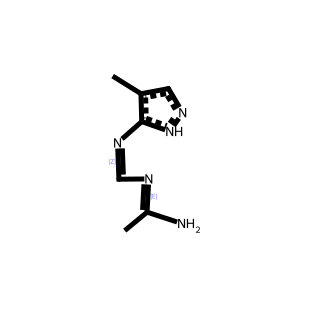 C/C(N)=N\C=N/c1[nH]ncc1C